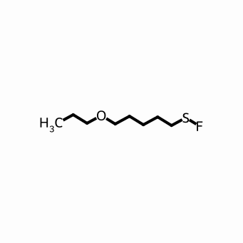 CCCOCCCCCSF